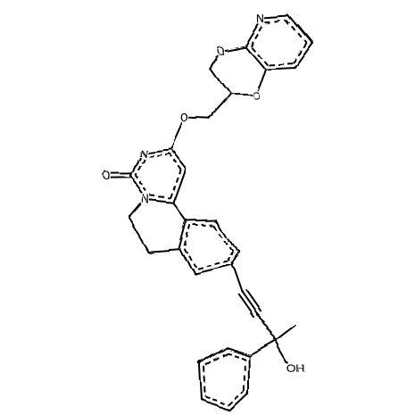 CC(O)(C#Cc1ccc2c(c1)CCn1c-2cc(OCC2COc3ncccc3O2)nc1=O)c1ccccc1